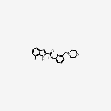 Cc1cccc2cc(C(=O)Nc3cccc(CN4CCOCC4)n3)[nH]c12